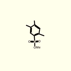 COS(=O)(=O)c1cc(C)c(C)cc1C